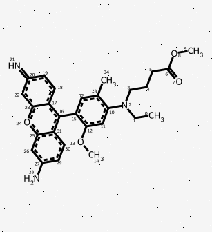 CCN(CCCC(=O)OC)c1cc(OC)c(-c2c3ccc(=N)cc-3oc3cc(N)ccc23)cc1C